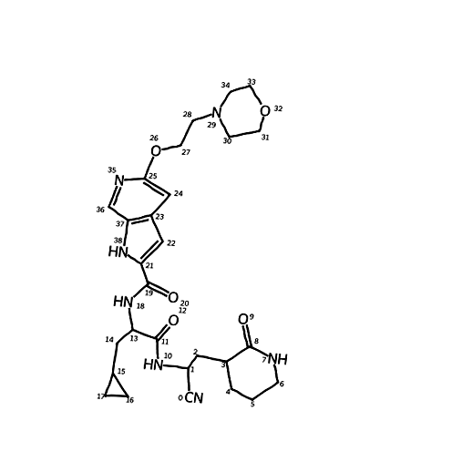 N#CC(CC1CCCNC1=O)NC(=O)C(CC1CC1)NC(=O)c1cc2cc(OCCN3CCOCC3)ncc2[nH]1